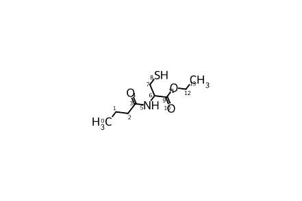 CCCC(=O)NC(CS)C(=O)OCC